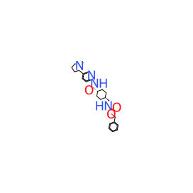 CN1CCCC1c1ccc(NC(=O)[C@H]2CC[C@H](CNC(=O)OCc3ccccc3)CC2)nc1